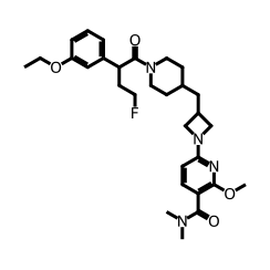 CCOc1cccc(C(CCF)C(=O)N2CCC(CC3CN(c4ccc(C(=O)N(C)C)c(OC)n4)C3)CC2)c1